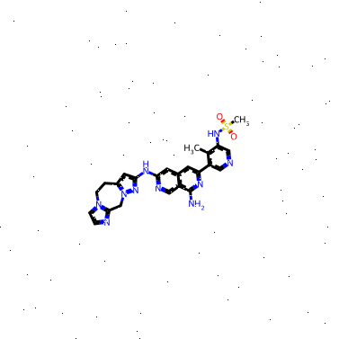 Cc1c(NS(C)(=O)=O)cncc1-c1cc2cc(Nc3cc4n(n3)Cc3nccn3CC4)ncc2c(N)n1